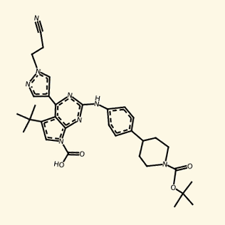 CC(C)(C)OC(=O)N1CCC(c2ccc(Nc3nc(-c4cnn(CCC#N)c4)c4c(C(C)(C)C)cn(C(=O)O)c4n3)cc2)CC1